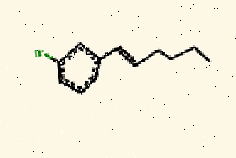 CCCCC=Cc1cccc(Br)c1